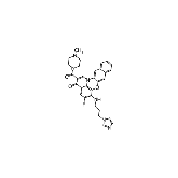 CN1CCN(C(=O)c2cn3c4c(c(NCCCn5ccnc5)c(F)cc4c2=O)Oc2cc4ccccc4cc2-3)CC1